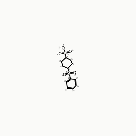 O=S(=O)(O)C1CCC(S(=O)(=O)c2ccccc2)CC1